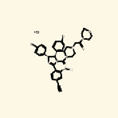 C#Cc1ccc(C2=N[C@@H](c3ccc(Cl)cc3)[C@@H](c3ccc(Cl)cc3)N2C(=O)N2CCN(CC(=O)N3CCOCC3)CC2)c(OCC)c1.Cl